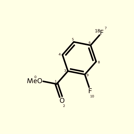 COC(=O)c1ccc([18F])cc1F